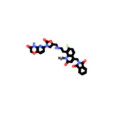 Cn1c(=O)cc(CN2C(=O)c3ccccc3C2=O)c2ccc(F)c(CCNCC3CN(c4ccc5c(n4)NC(=O)CO5)C(=O)O3)c21